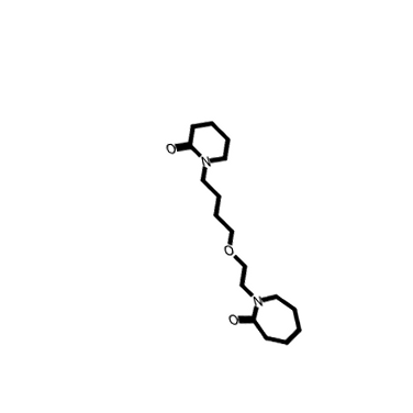 O=C1CCCCN1CCCCOCCN1CCCCCC1=O